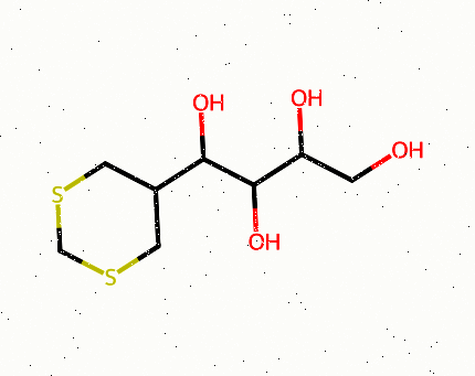 OCC(O)C(O)C(O)C1CSCSC1